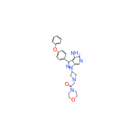 Nc1cncc2c1c(-c1ccc(Oc3ccccc3)cc1)nn2C1CN(CC(=O)N2CCOCC2)C1